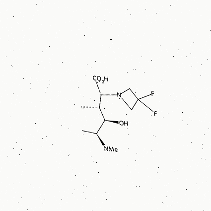 CN[C@@H](C)[C@H](O)[C@H](C)C(C(=O)O)N1CC(F)(F)C1